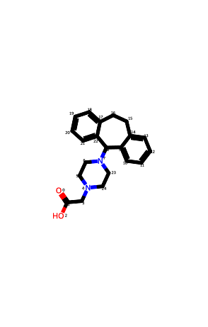 O=C(O)CN1CCN(C2c3ccccc3CCc3ccccc32)CC1